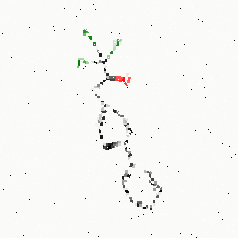 O=C(Cc1ccc(-c2ccccc2)cc1)C(F)(F)F